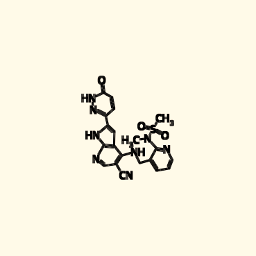 CN(c1ncccc1CNc1c(C#N)cnc2[nH]c(-c3ccc(=O)[nH]n3)cc12)S(C)(=O)=O